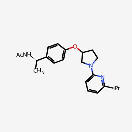 CC(=O)N[C@@H](C)c1ccc(OC2CCN(c3cccc(C(C)C)n3)C2)cc1